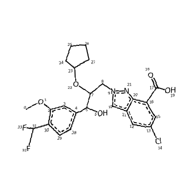 COc1cc(C(O)C(Cn2cc3cc(Cl)cc(C(=O)O)c3n2)OC2CCCC2)ccc1C(F)F